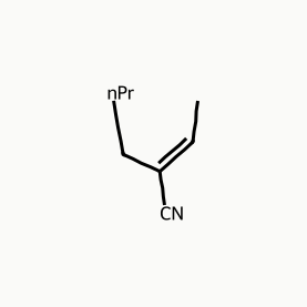 CC=C(C#N)CCCC